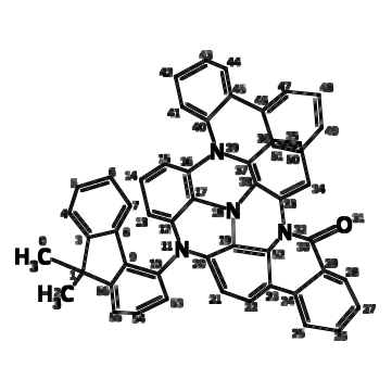 CC1(C)c2ccccc2-c2c(-n3c4cccc5c4n4c6c3ccc3c7ccccc7c(=O)n(c7cccc(c7-4)n5-c4ccccc4-c4ccccc4)c36)cccc21